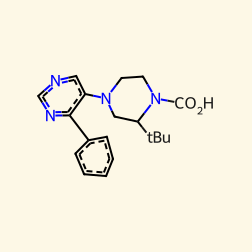 CC(C)(C)C1CN(c2cncnc2-c2ccccc2)CCN1C(=O)O